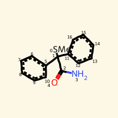 CSC(C(N)=O)(c1ccccc1)c1ccccc1